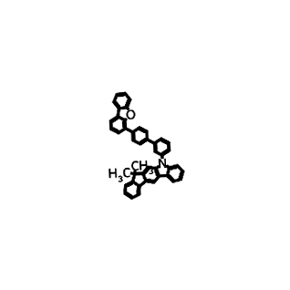 CC1(C)c2ccccc2-c2cc3c4ccccc4n(-c4cccc(-c5ccc(-c6cccc7c6oc6ccccc67)cc5)c4)c3cc21